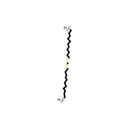 CCCCCCCCCCCCSCSCCCCCCCCCCCC